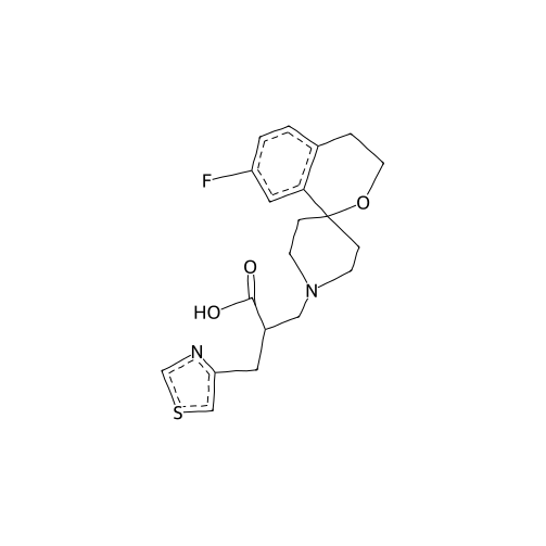 O=C(O)C(Cc1cscn1)CN1CCC2(CC1)OCCc1ccc(F)cc12